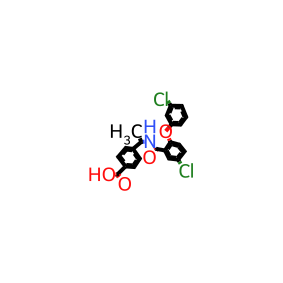 CC(NC(=O)c1cc(Cl)ccc1Oc1cccc(Cl)c1)c1ccc(C(=O)O)cc1